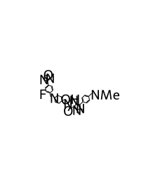 CNCc1ccc(-c2c3ncn(CC4(O)CCN(Cc5ccc(-c6ncon6)cc5F)CC4)c(=O)c3nn2C)cc1